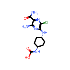 NC(=O)c1nc(Cl)c(N[C@H]2CC[C@H](NC(=O)O)CC2)nc1N